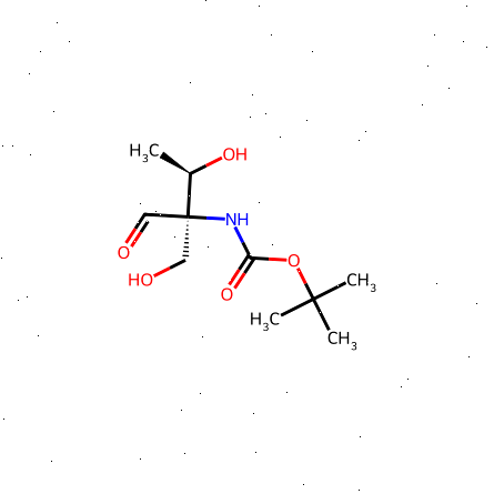 C[C@@H](O)[C@@](C=O)(CO)NC(=O)OC(C)(C)C